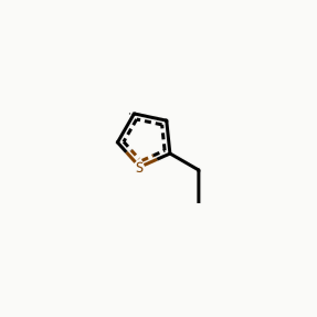 CCc1c[c]cs1